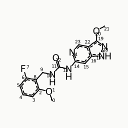 COc1cccc(F)c1CNC(=O)Nc1cc2[nH]nc(OC)c2cn1